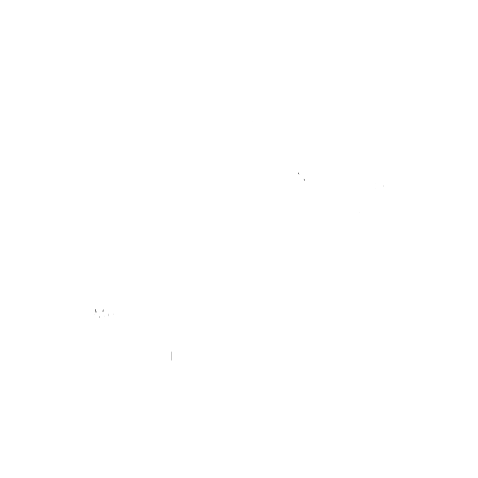 COc1ccc(C=CC(=O)N2CCOCC2)cc1C(F)F